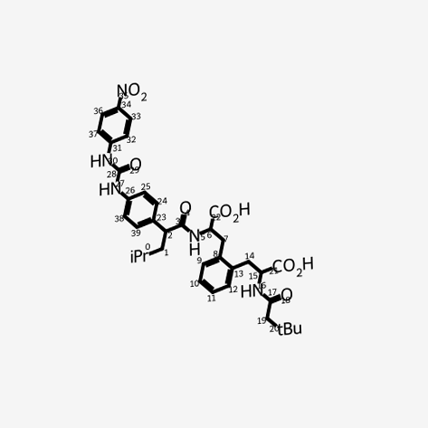 CC(C)CC(C(=O)NC(Cc1ccccc1CC(NC(=O)CC(C)(C)C)C(=O)O)C(=O)O)c1ccc(NC(=O)Nc2ccc([N+](=O)[O-])cc2)cc1